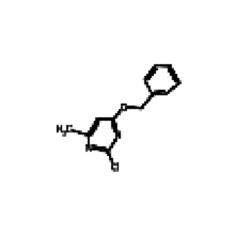 Cc1cc(OCc2ccccc2)nc(Cl)n1